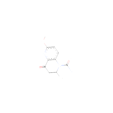 CCOc1ccc2c(n1)C(=O)CC(CC)N2C(N)=O